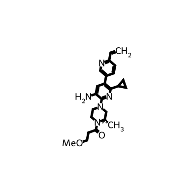 C=Cc1ccc(-c2cc(N)c(N3CCN(C(=O)CCOC)[C@H](C)C3)nc2C2CC2)cn1